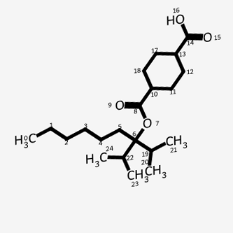 CCCCCCC(OC(=O)C1CCC(C(=O)O)CC1)(C(C)C)C(C)C